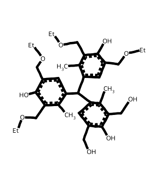 CCOCc1cc(C(c2cc(CO)c(O)c(CO)c2C)c2cc(COCC)c(O)c(COCC)c2C)c(C)c(COCC)c1O